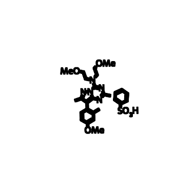 COCCN(CCOC)c1nc(C)nc2c(-c3ccc(OC)cc3C)c(C)nn12.O=S(=O)(O)c1ccccc1